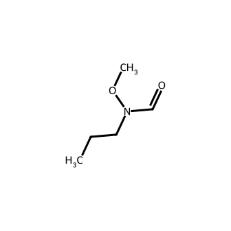 CCCN(C=O)OC